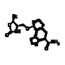 CC[C@@H]1OC(=O)N[C@@H]1COc1nccc2cc(C(N)=O)c3nccn3c12